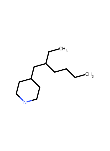 CCCCC(CC)CC1CC[N]CC1